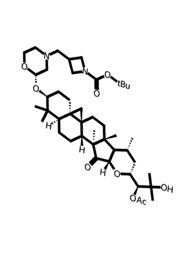 CC(=O)O[C@@H]([C@H]1C[C@@H](C)C2[C@H](O1)C(=O)[C@@]1(C)[C@@H]3CC[C@H]4C(C)(C)[C@@H](O[C@H]5CN(CC6CN(C(=O)OC(C)(C)C)C6)CCO5)CC[C@@]45C[C@@]35CC[C@]21C)C(C)(C)O